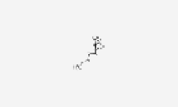 CCCCCC1OC2=C1O2